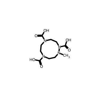 CN1CCN(C(=O)O)CCN(C(=O)O)CCN1C(=O)O